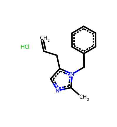 C=CCc1cnc(C)n1Cc1ccccc1.Cl